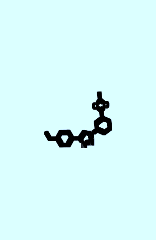 CCc1ccc(-c2cn(C3=CCCC(C4OC(C)O4)=C3)nn2)cc1